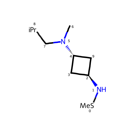 CSN[C@H]1C[C@H](N(C)CC(C)C)C1